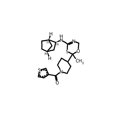 CC1(C2CCN(C(=O)c3ccsc3)CC2)OCN=C(N[C@H]2C[C@@H]3CC[C@H]2C3)S1